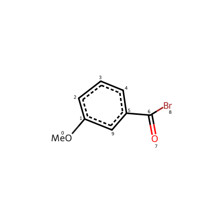 COc1cccc(C(=O)Br)c1